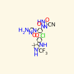 CC1(C)CNC(C(F)(F)F)c2[nH]c3ccc(Oc4c(Cl)cc(-n5nc(C#N)c(=O)[nH]c5=O)cc4-n4ccc(N)nc4=O)cc3c21